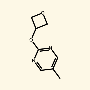 Cc1cnc(OC2COC2)nc1